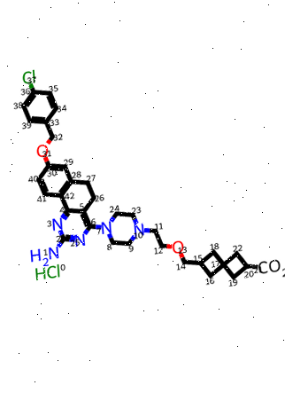 Cl.Nc1nc2c(c(N3CCN(CCOCC4CC5(C4)CC(C(=O)O)C5)CC3)n1)CCc1cc(OCc3ccc(Cl)cc3)ccc1-2